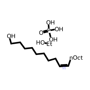 CCCCCCCC/C=C\CCCCCCCCO.CCO.O=P(O)(O)O